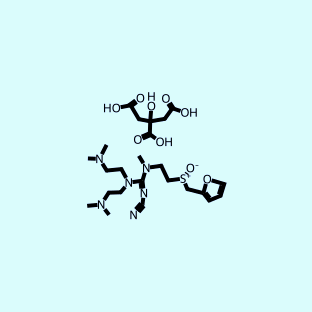 CN(C)CCN(CCN(C)C)C(=NC#N)N(C)CC[S+]([O-])Cc1ccco1.O=C(O)CC(O)(CC(=O)O)C(=O)O